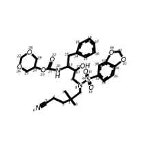 CC(C)(CCC#N)CN(CC(O)C(Cc1ccccc1)NC(=O)OC1COCOC1)S(=O)(=O)c1ccc2c(c1)OCO2